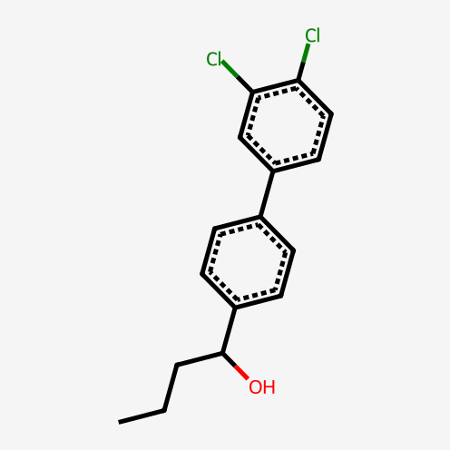 CCCC(O)c1ccc(-c2ccc(Cl)c(Cl)c2)cc1